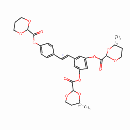 C[C@@H]1CCOC(C(=O)Oc2cc(/C=C/c3ccc(OC(=O)C4OCCCO4)cc3)cc(OC(=O)C3OCC[C@@H](C)O3)c2)O1